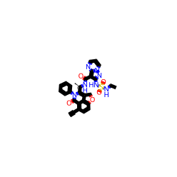 C#Cc1ccc2c3c(c([C@H](C)NC(=O)c4c(NS(=O)(=O)NCC)nn5cccnc45)n(-c4ccccc4)c(=O)c13)CO2